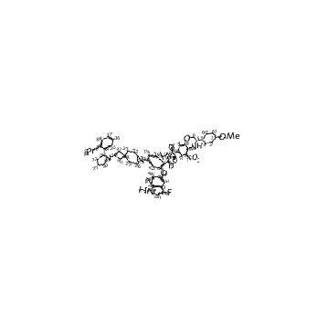 CO[C@H]1CC[C@@H]([C@@H]2COc3cc(S(=O)(=O)NC(=O)c4ccc(N5CCC6(CC5)CC(N5CCC[C@@H]5c5ccccc5C(C)C)C6)cc4Oc4cnc5[nH]cc(F)c5c4)cc([N+](=O)[O-])c3N2)CC1